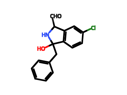 O=CC1NC(O)(Cc2ccccc2)c2ccc(Cl)cc21